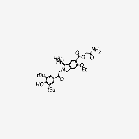 Br.CCOc1cc2c(cc1C(=O)OCC(N)=O)C(=N)N(CC(=O)c1cc(C(C)(C)C)c(O)c(C(C)(C)C)c1)C2